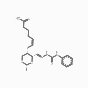 C[C@@H]1OC[C@H](C/C=C\CCCC(=O)O)[C@H](C=NNC(=S)Nc2ccccc2)O1